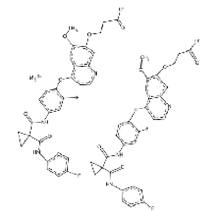 COc1cc2c(Oc3ccc(NC(=O)C4(C(=O)Nc5ccc(F)cc5)CC4)cc3F)ccnc2cc1OCCC(=O)[O-].COc1cc2c(Oc3ccc(NC(=O)C4(C(=O)Nc5ccc(F)cc5)CC4)cc3F)ccnc2cc1OCCC(=O)[O-].[Mg+2]